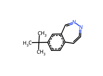 CC(C)(C)c1ccc2c(c1)C=NN=C=C2